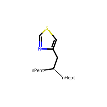 CCCCCCC[C@H](CCCCC)Cc1cscn1